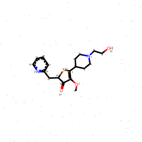 COC1=C(C2CCN(CCO)CC2)SC(Cc2ccccn2)C1=O